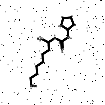 CCCCCCCCCCCCCCCCC(C)OC(=O)OC1CCC[N]1